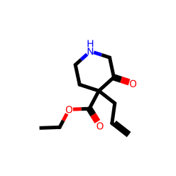 C=CCC1(C(=O)OCC)CCNCC1=O